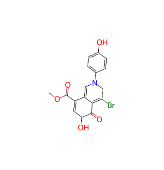 COC(=O)C1=CC(O)C(=O)C2=C(Br)CN(c3ccc(O)cc3)C=C12